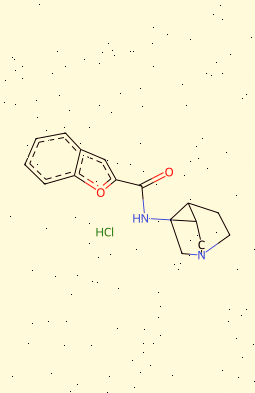 Cl.O=C(NC1CN2CCC1CC2)c1cc2ccccc2o1